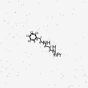 [CH2]CCNCCCNCCc1ccccc1